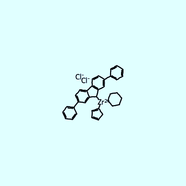 C1=CC[C]([Zr+2](=[C]2CCCCC2)[CH]2c3cc(-c4ccccc4)ccc3-c3ccc(-c4ccccc4)cc32)=C1.[Cl-].[Cl-]